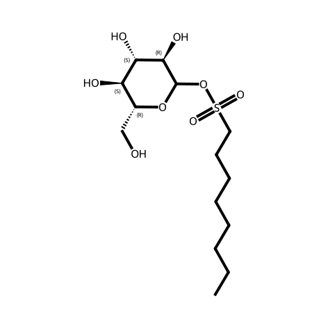 CCCCCCCCS(=O)(=O)OC1O[C@H](CO)[C@@H](O)[C@H](O)[C@H]1O